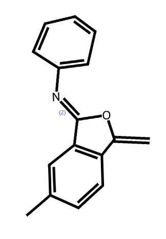 C=C1O/C(=N\c2ccccc2)c2cc(C)ccc21